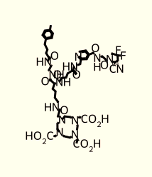 Cc1ccc(CCCC(=O)NCCNC(=O)C(CCCCNC(=O)CN2CCN(CC(=O)O)CCN(CC(=O)O)CCN(CC(=O)O)CC2)NC(=O)CCC(=O)NCc2cc(C(=O)NCC(=O)N3CC(F)(F)C[C@H]3C#N)ccn2)cc1